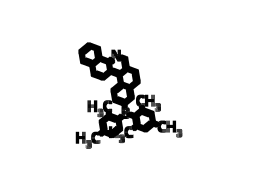 Cc1ccc(B(c2ccc3c(ccc4cnc5c6ccccc6ccc5c43)c2)c2c(C)cc(C)cc2C)c(C)c1